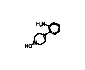 Nc1ccccc1N1CCN(O)CC1